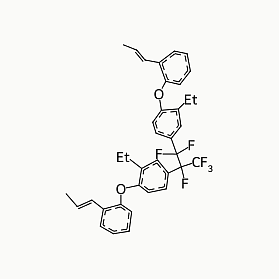 CC=Cc1ccccc1Oc1ccc(C(F)(F)C(F)(c2ccc(Oc3ccccc3C=CC)c(CC)c2)C(F)(F)F)cc1CC